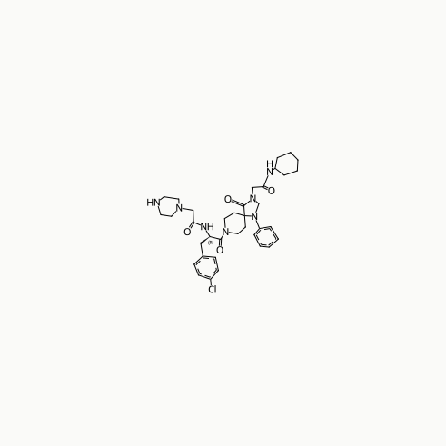 O=C(CN1CN(c2ccccc2)C2(CCN(C(=O)[C@@H](Cc3ccc(Cl)cc3)NC(=O)CN3CCNCC3)CC2)C1=O)NC1CCCCC1